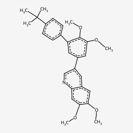 COc1cc2cc(-c3cc(OC)c(OC)c(-c4ccc(C(C)(C)C)cc4)c3)cnc2cc1OC